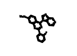 CNc1ccc2c(-n3cnc4cnccc43)nc(-c3ccccc3F)nc2c1